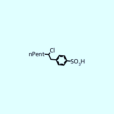 CCCCCC(Cl)Cc1ccc(S(=O)(=O)O)cc1